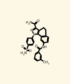 Cc1cccc(C(=O)Nc2ccc3c(c2)-c2c(c(C(N)=O)nn2-c2ccc(S(N)(=O)=O)cc2)CC3)c1